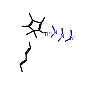 CC1=C(C)C(C)(C)[C]([Ti+3])=C1C.CC=CC=CC.C[N-]C.C[N-]C.C[N-]C